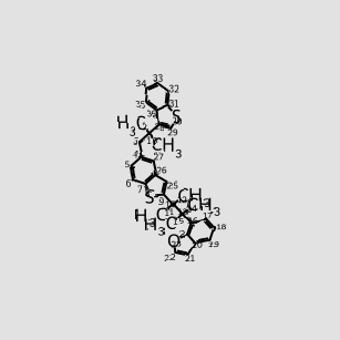 CC(C)(Cc1ccc2sc(C(C)(C)C(C)(C)c3cccc4ccoc34)cc2c1)c1csc2ccccc12